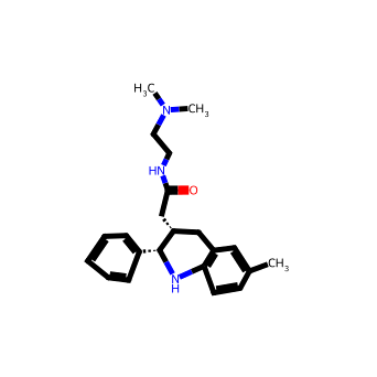 Cc1ccc2c(c1)C[C@@H](CC(=O)NCCN(C)C)[C@@H](c1ccccc1)N2